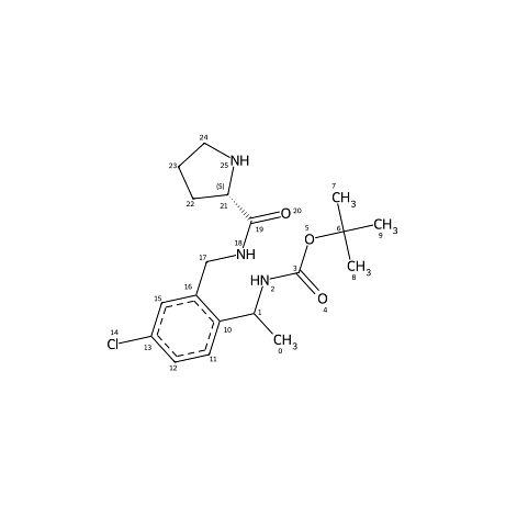 CC(NC(=O)OC(C)(C)C)c1ccc(Cl)cc1CNC(=O)[C@@H]1CCCN1